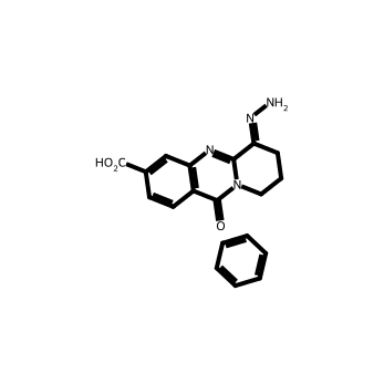 NN=C1CCCn2c1nc1cc(C(=O)O)ccc1c2=O.c1ccccc1